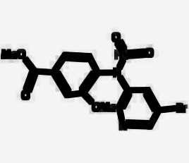 COC(=O)c1ccc(N(c2cncc(Br)c2)[SH](=O)=O)c(OC)c1